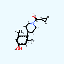 CCc1cc(O)cc(C)c1C1CCN(C(=O)C2CC2)CC1